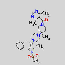 Cc1ncnc(C)c1C(=O)N1CCC(C)(N2CCN([C@@H](Cc3ccccc3)C3CN(S(C)(=O)=O)C3)C(C)C2)CC1